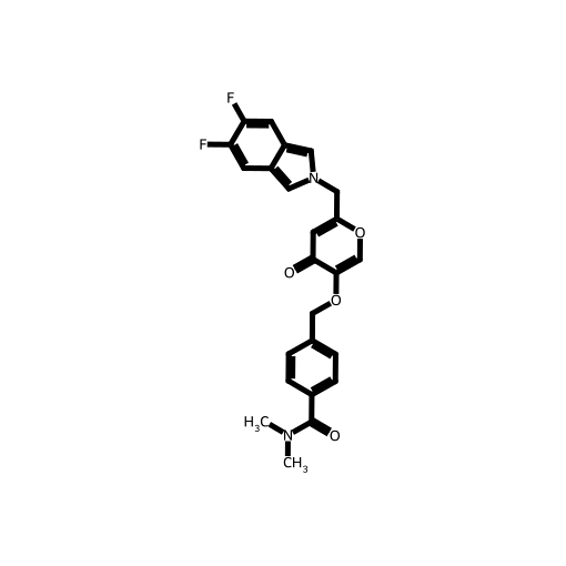 CN(C)C(=O)c1ccc(COc2coc(Cn3cc4cc(F)c(F)cc4c3)cc2=O)cc1